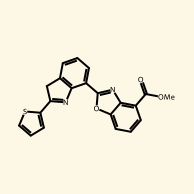 COC(=O)c1cccc2oc(-c3cccc4c3N=C(c3cccs3)C4)nc12